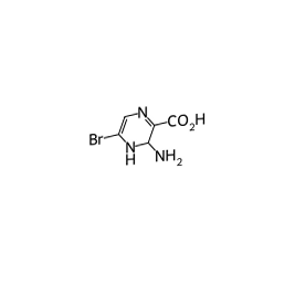 NC1NC(Br)=CN=C1C(=O)O